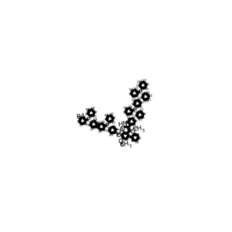 COc1cc(C=C2C(=O)Nc3ccccc32)c(-c2ccccc2OC)cc1OC.[Pd].c1ccc(P(c2ccccc2)c2ccccc2)cc1.c1ccc(P(c2ccccc2)c2ccccc2)cc1.c1ccc(P(c2ccccc2)c2ccccc2)cc1.c1ccc(P(c2ccccc2)c2ccccc2)cc1